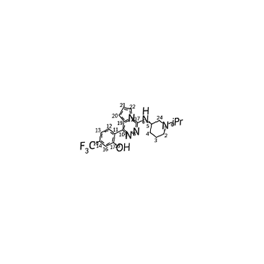 CC(C)N1CCC[C@@H](Nc2nnc(-c3ccc(C(F)(F)F)cc3O)c3cccn23)C1